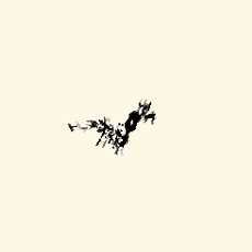 [2H]c1cc(-c2ccc3nnn(CCF)c3c2)c2c(OC)nc(N[C@@H]3CN(C)CC3(F)F)nn12